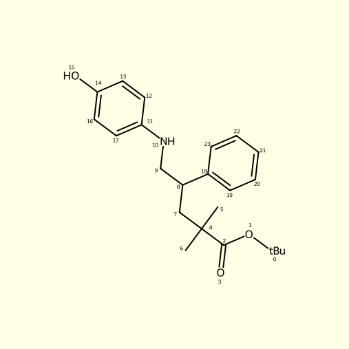 CC(C)(C)OC(=O)C(C)(C)CC(CNc1ccc(O)cc1)c1ccccc1